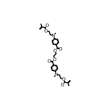 C=C(C)C(=O)OCCN(C)c1ccc(C(=O)OCCOC(=O)c2ccc(N(C)CCOC(=O)C(=C)C)cc2)cc1